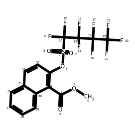 COC(=O)c1c(OS(=O)(=O)C(F)(F)C(F)(F)C(F)(F)C(F)(F)F)ccc2ccccc12